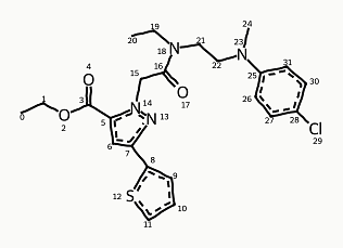 CCOC(=O)c1cc(-c2cccs2)nn1CC(=O)N(CC)CCN(C)c1ccc(Cl)cc1